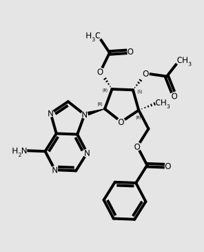 CC(=O)O[C@H]1[C@H](n2cnc3c(N)ncnc32)O[C@](C)(COC(=O)c2ccccc2)[C@H]1OC(C)=O